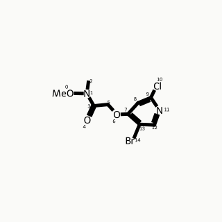 CON(C)C(=O)COc1cc(Cl)ncc1Br